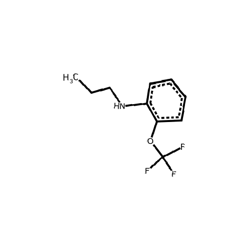 CCCNc1ccccc1OC(F)(F)F